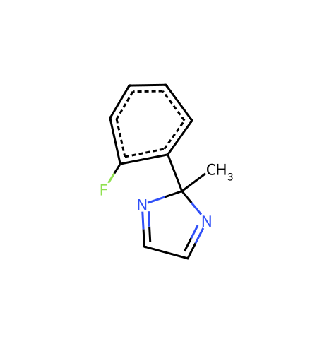 CC1(c2ccccc2F)N=CC=N1